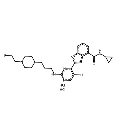 Cl.Cl.O=C(NC1CC1)c1cccc2sc(-c3nc(NCCCC4CCN(CCF)CC4)ncc3Cl)cc12